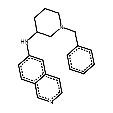 c1ccc(CN2CCCC(Nc3ccc4cnccc4c3)C2)cc1